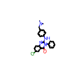 CN(C)Cc1ccc(Nc2nc3ccc(Cl)cc3c(=O)n2-c2ccccc2)cc1